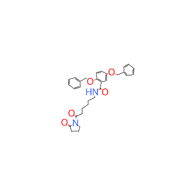 O=C(NCCCCCC(=O)N1CCCC1=O)c1cc(OCc2ccccc2)ccc1OCc1ccccc1